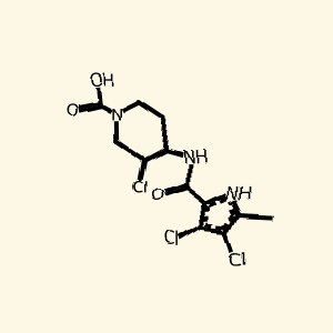 Cc1[nH]c(C(=O)NC2CCN(C(=O)O)CC2Cl)c(Cl)c1Cl